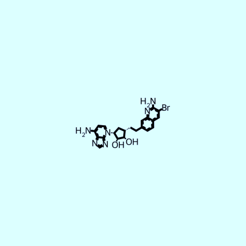 Nc1ccn([C@@H]2C[C@H](CCc3ccc4cc(Br)c(N)nc4c3)[C@@H](O)[C@H]2O)c2ncnc1-2